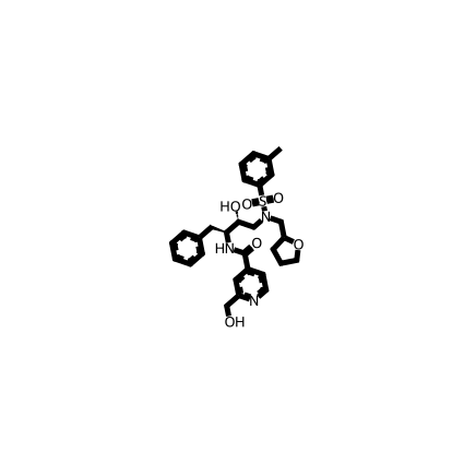 Cc1cccc(S(=O)(=O)N(CC2CCCO2)C[C@@H](O)[C@H](Cc2ccccc2)NC(=O)c2ccnc(CO)c2)c1